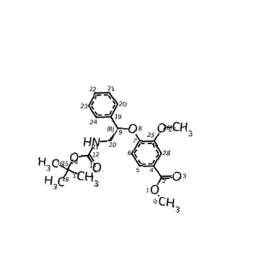 COC(=O)c1ccc(O[C@@H](CNC(=O)OC(C)(C)C)c2ccccc2)c(OC)c1